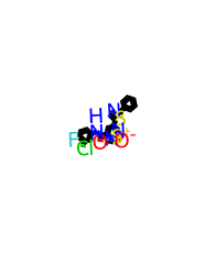 CN1C(C(=O)Nc2ccc(F)c(Cl)c2)=CC(c2cnc(-c3ccccc3)s2)=N[S+]1[O-]